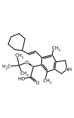 Cc1c(C=CC2CCCCC2)c([C@H](OC(C)(C)C)C(=O)O)c(C)c2c1CNC2